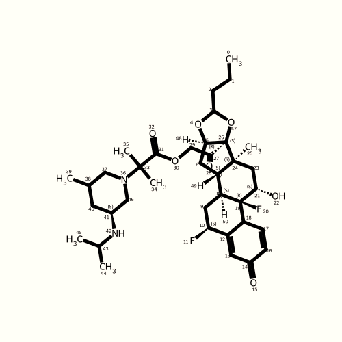 CCCC1O[C@@H]2C[C@H]3[C@@H]4C[C@H](F)C5=CC(=O)C=CC5[C@@]4(F)[C@@H](O)C[C@]3(C)[C@]2(C(=O)COC(=O)C(C)(C)N2CC(C)C[C@H](NC(C)C)C2)O1